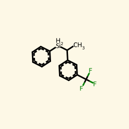 CC([SiH2]c1ccccc1)c1cccc(C(F)(F)F)c1